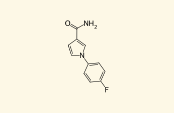 NC(=O)c1ccn(-c2ccc(F)cc2)c1